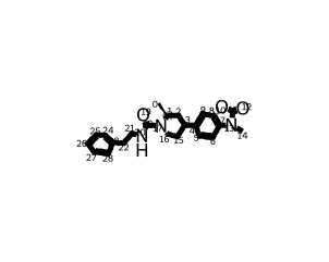 C[C@H]1CC(c2ccc3c(c2)oc(=O)n3C)CCN1C(=O)NCCc1ccccc1